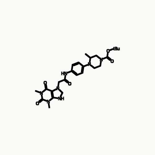 CC1CN(C(=O)OC(C)(C)C)CCN1c1ccc(NC(=O)CN2CNc3c2c(=O)n(C)c(=O)n3C)cc1